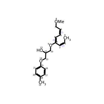 C\C=C/C(=C\C=C/COC)OCC(O)COc1ccc(C)cc1